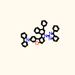 c1ccc(-c2nc(-n3c4cc(-c5ccccc5)c5ccccc5c4c4c5c(ccc43)oc3cc(-n4c6ccccc6c6ccccc64)ccc35)nc3ccccc23)cc1